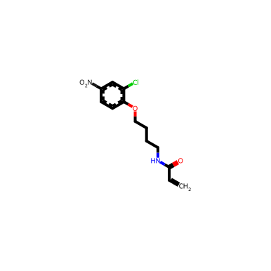 C=CC(=O)NCCCCOc1ccc([N+](=O)[O-])cc1Cl